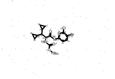 CC(C)(C)OC(=O)N[C@H](C(=O)Nc1ccc(Br)c(Cl)n1)C(C1CC1)C1CC1